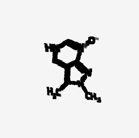 Cc1c2c(nn1C)[N+]([O-])=CNC2